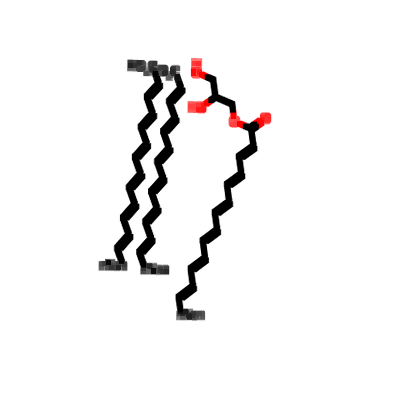 CCCCCCCCCC=CC=CC=CC=CC=CC=CC(=O)O.CCCCCCCCCC=CC=CC=CC=CC=CC=CC(=O)O.CCCCCCCCCC=CC=CC=CC=CC=CC=CC(=O)OCC(O)CO